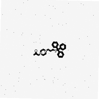 CC(=O)CN1CCN(CCCSC(c2ccccc2)(c2ccccc2)c2ccccc2)CC1